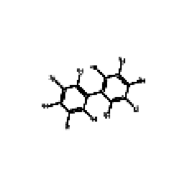 [2H]c1c([2H])c(Cl)c([2H])c(-c2c([2H])c([2H])c([2H])c(Br)c2[2H])c1[2H]